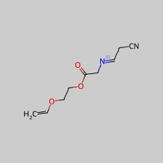 C=COCCOC(=O)C/N=C/CC#N